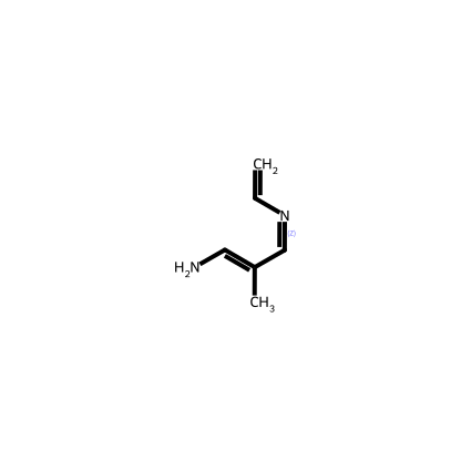 C=C/N=C\C(C)=CN